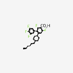 C=CCCCCC1CCC(c2cc(F)c(C(=O)O)c(F)c2-c2cc(F)c(F)c(F)c2)CC1